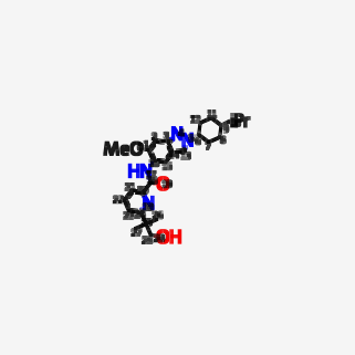 COc1cc2nn([C@H]3CC[C@H](C(C)C)CC3)cc2cc1NC(=O)c1cccc(C(C)(C)CO)n1